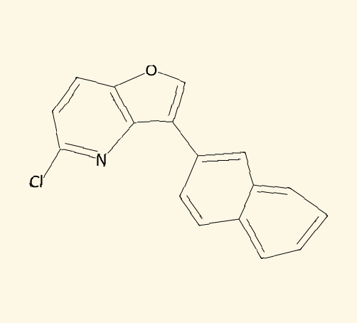 Clc1ccc2occ(-c3ccc4ccccc4c3)c2n1